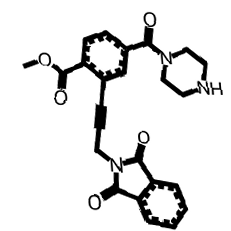 COC(=O)c1ccc(C(=O)N2CCNCC2)cc1C#CCN1C(=O)c2ccccc2C1=O